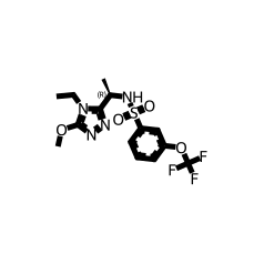 CCn1c(OC)nnc1[C@@H](C)NS(=O)(=O)c1cccc(OC(F)(F)F)c1